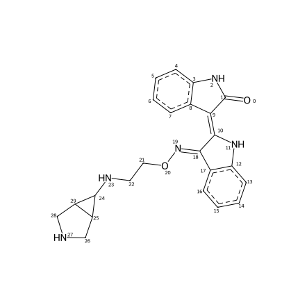 O=C1Nc2ccccc2/C1=C1/Nc2ccccc2/C1=N\OCCNC1C2CNCC21